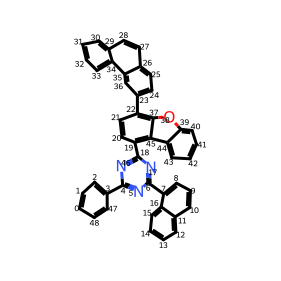 c1ccc(-c2nc(-c3cccc4ccccc34)nc(-c3ccc(-c4ccc5ccc6ccccc6c5c4)c4oc5ccccc5c34)n2)cc1